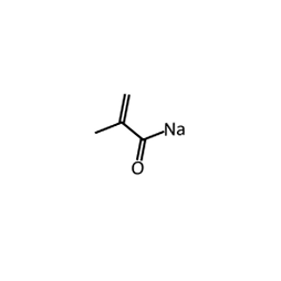 C=C(C)[C](=O)[Na]